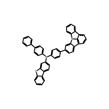 c1ccc(-c2ccc(N(c3ccc(-c4ccc5c6cccc7c8ccccc8n(c5c4)c76)cc3)c3ccc4c(c3)oc3ccccc34)cc2)cc1